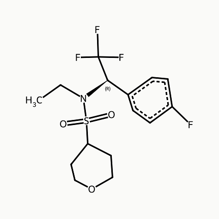 CCN([C@H](c1ccc(F)cc1)C(F)(F)F)S(=O)(=O)C1CCOCC1